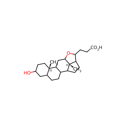 C[C@]12CCC(O)CC1CCC1C2CC2OC(CCC(=O)O)C3CCC1[C@]23C